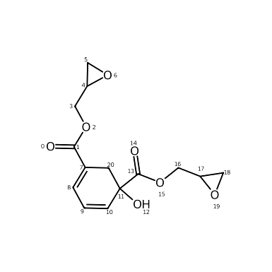 O=C(OCC1CO1)C1=CC=CC(O)(C(=O)OCC2CO2)C1